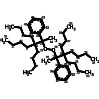 CCCCC(CCCC)(CCCC)C(C)(OOC(C)(c1ccccc1)C(CCCC)(CCCC)CCCC)c1ccccc1